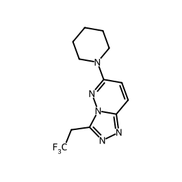 FC(F)(F)Cc1nnc2ccc(N3CCCCC3)nn12